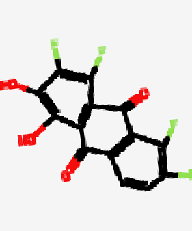 O=C1c2ccc(F)c(F)c2C(=O)c2c(F)c(F)c(O)c(O)c21